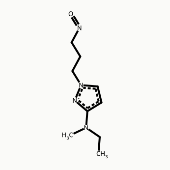 CCN(C)c1ccn(CCCN=O)n1